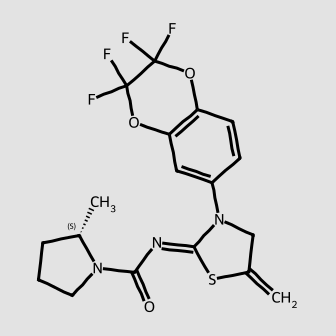 C=C1CN(c2ccc3c(c2)OC(F)(F)C(F)(F)O3)C(=NC(=O)N2CCC[C@@H]2C)S1